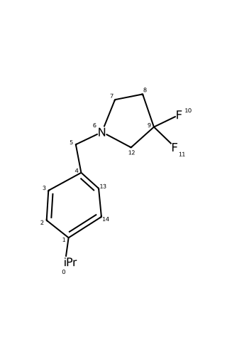 CC(C)c1ccc(CN2CCC(F)(F)C2)cc1